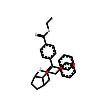 CCOC(=O)c1ccc(C(=C2CC3CCC(N2)C3CCc2ccccc2)c2ccccc2)cc1